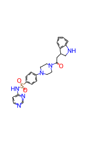 O=C(CC1CNc2ccccc21)N1CCN(c2ccc(S(=O)(=O)Nc3ccncn3)cc2)CC1